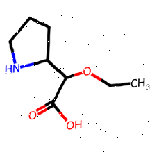 CCOC(C(=O)O)C1CCCN1